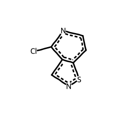 Clc1nccc2sncc12